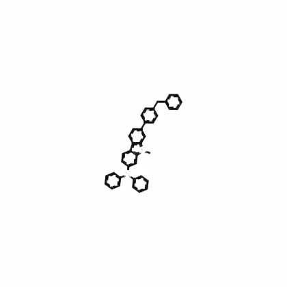 Cn1c2cc(-c3ccc(Cc4ccccc4)cc3)ccc2c2ccc(N(c3ccccc3)c3ccccc3)cc21